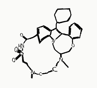 CN1CCCN(C)C2COc3ccccc3-c3c(C4CCCCC4)c4ccc(cc4n3C2)C(=O)NS(=O)(=O)CC1